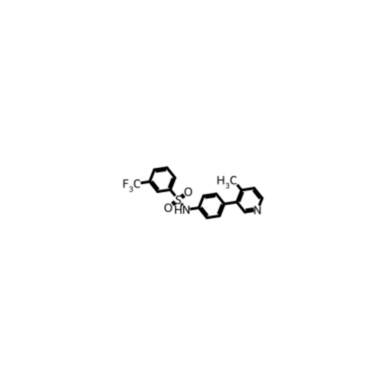 Cc1ccncc1-c1ccc(NS(=O)(=O)c2cccc(C(F)(F)F)c2)cc1